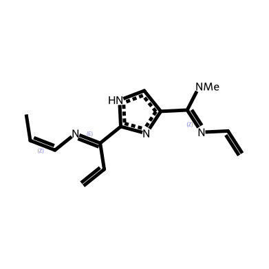 C=C/N=C(\NC)c1c[nH]c(/C(C=C)=N/C=C\C)n1